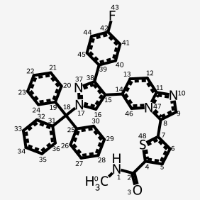 CNC(=O)c1ccc(-c2cnc3ccc(-c4cn(C(c5ccccc5)(c5ccccc5)c5ccccc5)nc4-c4ccc(F)cc4)cn23)s1